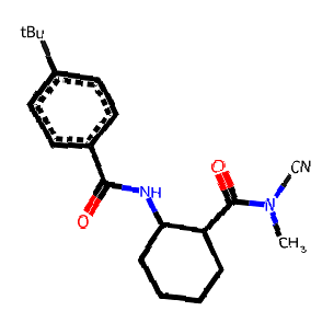 CN(C#N)C(=O)C1CCCCC1NC(=O)c1ccc(C(C)(C)C)cc1